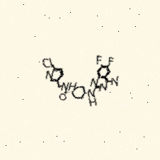 CN(C)c1nc(N[C@H]2CC[C@@H](C(=O)NCc3ccc(Cl)nc3)CC2)nc2cc(F)c(F)cc12